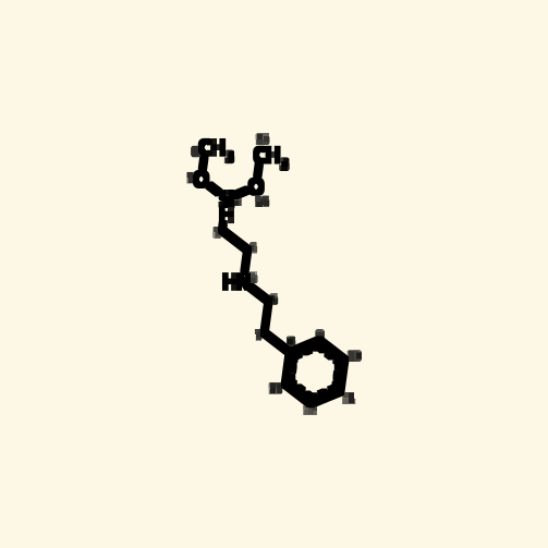 CO[SiH](CCNCCc1ccccc1)OC